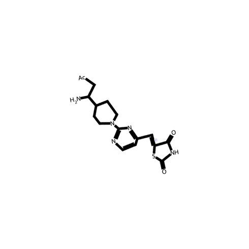 CC(=O)CC(N)C1CCN(c2nccc(/C=C3\SC(=O)NC3=O)n2)CC1